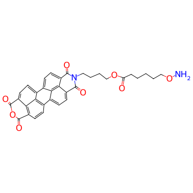 NOCCCCCC(=O)OCCCCN1C(=O)c2ccc3c4ccc5c6c(ccc(c7ccc(c2c37)C1=O)c64)C(=O)OC5=O